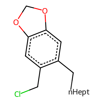 CCCCCCCCc1cc2c(cc1CCl)OCO2